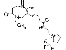 CCN1Cc2cc(CCC(=O)NCCN3CCC[C@@H]3C(F)(F)F)ccc2NCCC1=O